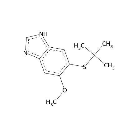 COc1cc2nc[nH]c2cc1SC(C)(C)C